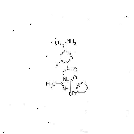 CCCC1(c2ccccc2)N=C(C)N(CC(=O)c2ccc(C(N)=O)cc2F)C1=O